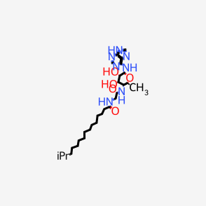 CC(C)CCCCCCCCCCCCC(=O)NCC(=O)N[C@@H]1[C@@H](O)[C@H](O)[C@@H](Nc2ncnc3[nH]cnc23)O[C@H]1C